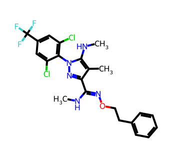 CN/C(=N\OCCc1ccccc1)c1nn(-c2c(Cl)cc(C(F)(F)F)cc2Cl)c(NC)c1C